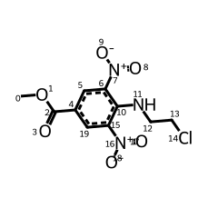 COC(=O)c1cc([N+](=O)[O-])c(NCCCl)c([N+](=O)[O-])c1